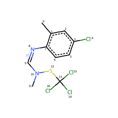 Cc1cc(Cl)ccc1/N=C\N(C)SC(Cl)(Cl)Cl